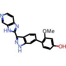 COc1cc(O)ccc1-c1ccc2c(-c3nc4ccncc4[nH]3)n[nH]c2c1